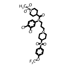 CS(=O)(=O)N1CCC(C(=O)N(CCCN2CCC(S(=O)(=O)c3ccc(OC(F)(F)F)cc3)CC2)c2ccc(Cl)c(Cl)c2)CC1